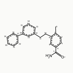 Cc1ccc(C(N)=O)cc1CCc1cncc(-c2ccccc2)c1